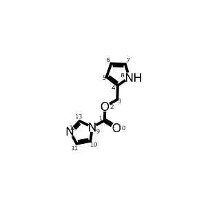 O=C(OCc1ccc[nH]1)n1ccnc1